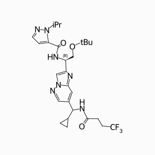 CC(C)n1nccc1C(=O)N[C@@H](COC(C)(C)C)c1cn2ncc(C(NC(=O)CCC(F)(F)F)C3CC3)cc2n1